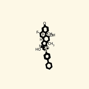 C[C@]12C=CC(=O)C=C1[C@@H](F)C[C@H]1C3C[C@H]4CN(c5ccc(C6CCCCC6)cc5)O[C@@]4(C(=O)CO)[C@@]3(C)C[C@H](O)[C@@]12F